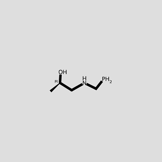 C[C@@H](O)CNCP